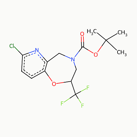 CC(C)(C)OC(=O)N1Cc2nc(Cl)ccc2OC(C(F)(F)F)C1